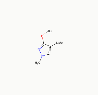 CCC(C)Oc1nn(C)cc1NC